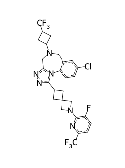 Fc1ccc(C(F)(F)F)nc1N1CC2(CC(c3nnc4n3-c3ccc(Cl)cc3CN(C3CC(C(F)(F)F)C3)C4)C2)C1